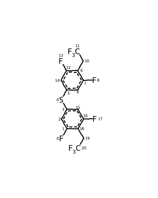 Fc1cc(Sc2cc(F)c(CC(F)(F)F)c(F)c2)cc(F)c1CC(F)(F)F